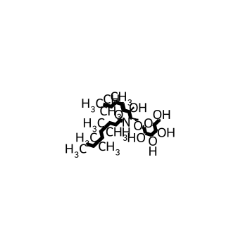 CCCC(C)(C)CCC(C)(C)CCC(=O)N[C@H](COC1OC(CO)C(O)C(O)C1O)[C@H](O)/C=C/C(C)CC(C)(C)C